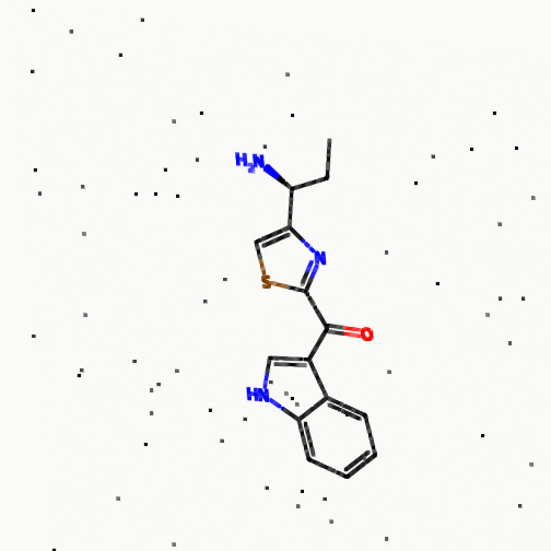 CC[C@H](N)c1csc(C(=O)c2c[nH]c3ccccc23)n1